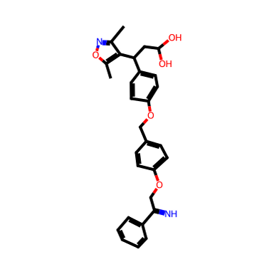 Cc1noc(C)c1C(CC(O)O)c1ccc(OCc2ccc(OCC(=N)c3ccccc3)cc2)cc1